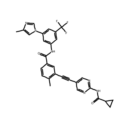 Cc1cn(-c2cc(NC(=O)c3ccc(C)c(C#Cc4cnc(NC(=O)C5CC5)nc4)c3)cc(C(F)(F)F)c2)cn1